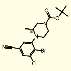 C[C@H]1CN(C(=O)OC(C)(C)C)CCN1c1cc(C#N)cc(Cl)c1Br